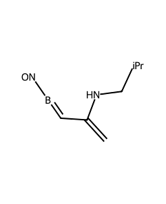 C=C(C=BN=O)NCC(C)C